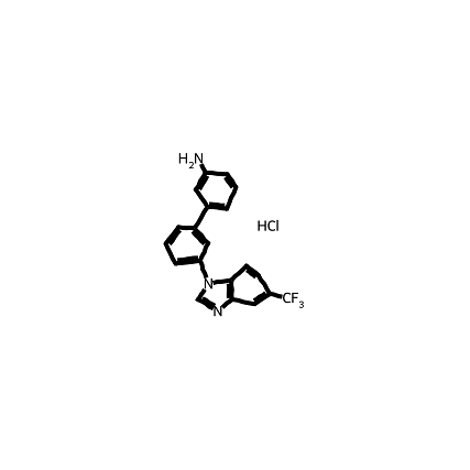 Cl.Nc1cccc(-c2cccc(-n3cnc4cc(C(F)(F)F)ccc43)c2)c1